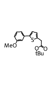 COc1cccc(-c2ccc(CC(=O)OC(C)(C)C)s2)c1